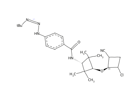 CC(C)(C)/N=N\Nc1ccc(C(=O)N[C@H]2C(C)(C)[C@H](O[C@@H]3C(Cl)CC3C#N)C2(C)C)cc1